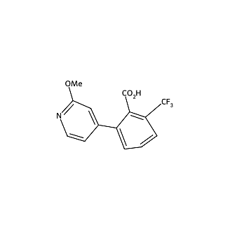 COc1cc(-c2cccc(C(F)(F)F)c2C(=O)O)ccn1